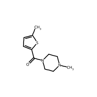 Cc1ccc(C(=O)N2CCN(C)CC2)s1